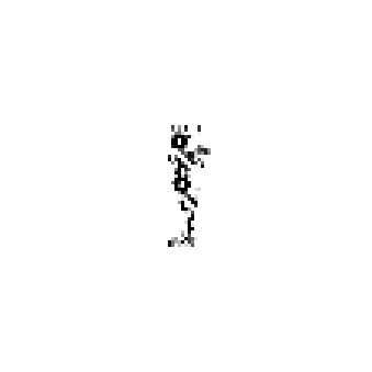 CC(C)(C)OC(=O)NC(Cc1ccc(N2CCN(CCCO[Si](C)(C)C(C)(C)C)CC2=O)cc1)C(=O)Nc1ccc(C(=O)O)cc1